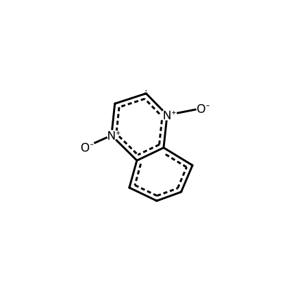 [O-][n+]1[c]c[n+]([O-])c2ccccc21